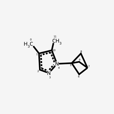 Cc1cnn(C23CC(C2)C3)c1C